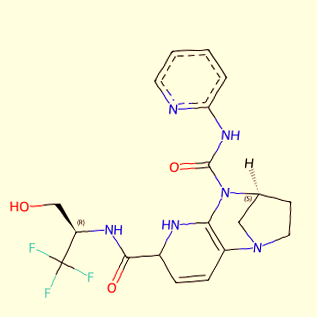 O=C(N[C@H](CO)C(F)(F)F)C1C=CC2=C(N1)N(C(=O)Nc1ccccn1)[C@H]1CCN2C1